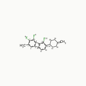 Cc1cc2c(c(F)c1F)-c1c-2ccc(C2CCC(C)CC2)c1F